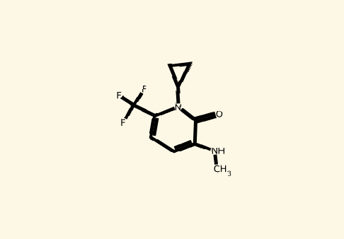 CNc1ccc(C(F)(F)F)n(C2CC2)c1=O